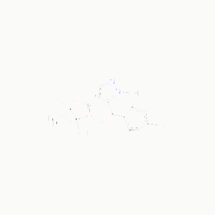 Cn1ncc(B2OC(C)(C)C(C)(C)O2)c1C(=O)c1ccc(Cl)cc1